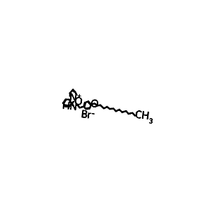 CCCCCCCCCCCCCCOc1ccc(CC(=O)NC2(C[n+]3ccccc3)C=CC=CC2)cc1.[Br-]